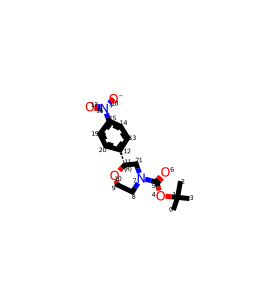 CC(C)(C)OC(=O)N1CCO[C@H](c2ccc([N+](=O)[O-])cc2)C1